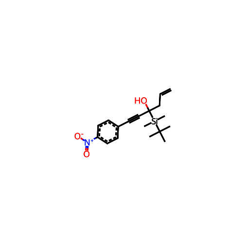 C=CCC(O)(C#Cc1ccc([N+](=O)[O-])cc1)[Si](C)(C)C(C)(C)C